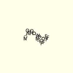 CN1CCC(CNC(=O)C(C)(C)Oc2ccc(/C(CN3CCCCC3)=N/OCc3cc(C(F)(F)F)cc(C(F)(F)F)c3)cc2)CC1